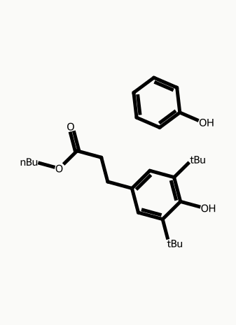 CCCCOC(=O)CCc1cc(C(C)(C)C)c(O)c(C(C)(C)C)c1.Oc1ccccc1